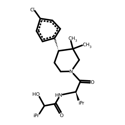 CC(C)C(O)C(=O)N[C@@H](C(=O)N1CC[C@H](c2ccc(Cl)cc2)C(C)(C)C1)C(C)C